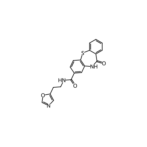 O=C(NCCc1cnco1)c1ccc2c(c1)NC(=O)c1ccccc1S2